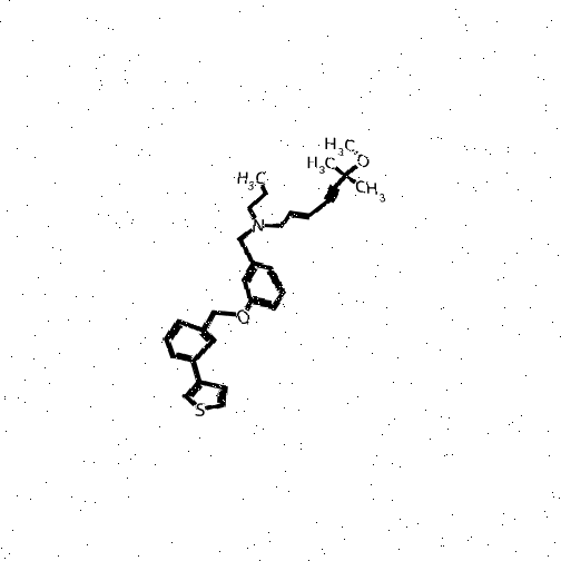 CCCN(CC=CC#CC(C)(C)OC)Cc1cccc(OCc2cccc(-c3ccsc3)c2)c1